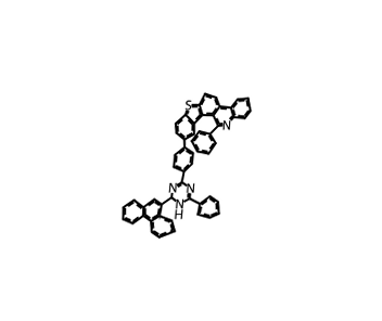 c1ccc(C2=NC(c3ccc(-c4ccc5sc6ccc7c8ccccc8nc(-c8ccccc8)c7c6c5c4)cc3)=NC(c3cc4ccccc4c4ccccc34)N2)cc1